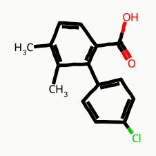 Cc1ccc(C(=O)O)c(-c2ccc(Cl)cc2)c1C